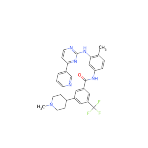 Cc1ccc(NC(=O)c2cc(C3CCN(C)CC3)cc(C(F)(F)F)c2)cc1Nc1nccc(-c2cccnc2)n1